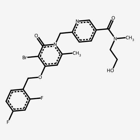 Cc1cc(OCc2ccc(F)cc2F)c(Br)c(=O)n1Cc1ccc(C(=O)N(C)CCO)cn1